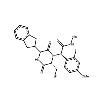 COc1ccc([C@H](C(=O)NC(C)(C)C)N2C(=O)C(C3Cc4ccccc4C3)NC(=O)[C@H]2CC(C)C)c(F)c1